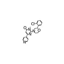 Cn1c(N2CCOC(c3ccccc3Cl)C2)nc(-c2ccncc2)cc1=O